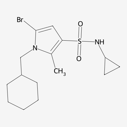 Cc1c(S(=O)(=O)NC2CC2)cc(Br)n1CC1CCCCC1